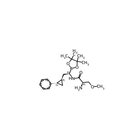 COC[C@@H](N)C(=O)N[C@@H](C[C@H]1C[C@@H]1c1ccccc1)B1OC(C)(C)C(C)(C)O1